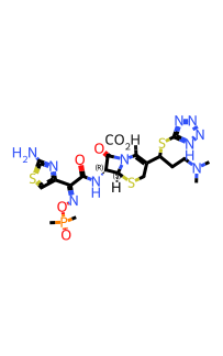 CN(C)CCC(Sc1nnn[nH]1)C1=C(C(=O)O)N2C(=O)[C@@H](NC(=O)C(=NOP(C)(C)=O)c3csc(N)n3)[C@@H]2SC1